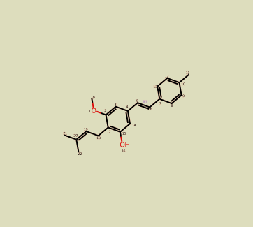 COc1cc(/C=C/c2ccc(C)cc2)cc(O)c1CC=C(C)C